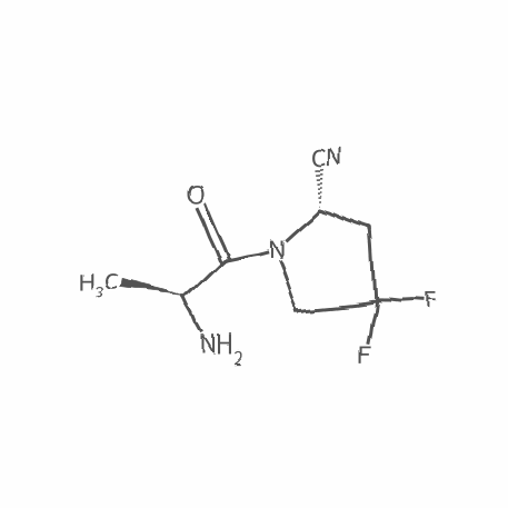 C[C@H](N)C(=O)N1CC(F)(F)C[C@H]1C#N